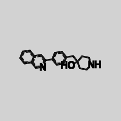 OC1(Cc2ccc(-c3cc4ccccc4cn3)cc2)CCNCC1